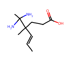 CC=CC(C)(CCC(=O)O)C(C)(N)N